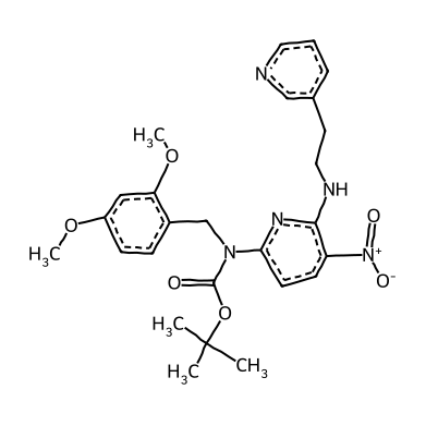 COc1ccc(CN(C(=O)OC(C)(C)C)c2ccc([N+](=O)[O-])c(NCCc3cccnc3)n2)c(OC)c1